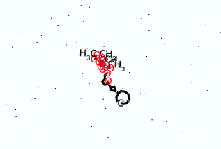 COP(=O)(OC)OP(=O)(OC)OP(=O)(OC)OCC1CCC(C2CC(C3CCCCCCCCC3)C2)O1